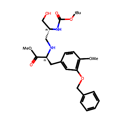 COC(=O)[C@H](Cc1ccc(OC)c(OCc2ccccc2)c1)NC[C@H](CO)NC(=O)OC(C)(C)C